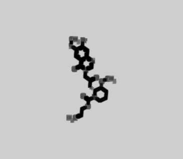 C=CCOC(=O)N1CCC[C@H](OC)[C@H]1CC(=O)Cn1cnc2cc(Br)c(SC)cc2c1=O